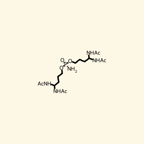 CC(=O)NC(CCCOP(N)(=O)OCCCC(NC(C)=O)NC(C)=O)NC(C)=O